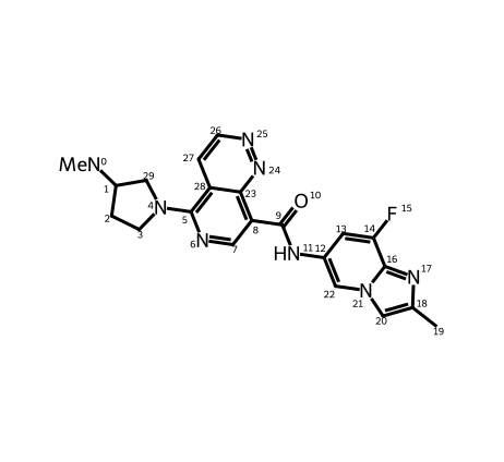 CNC1CCN(c2ncc(C(=O)Nc3cc(F)c4nc(C)cn4c3)c3nnccc23)C1